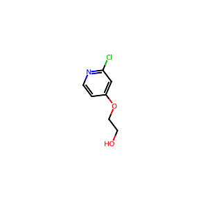 OCCOc1ccnc(Cl)c1